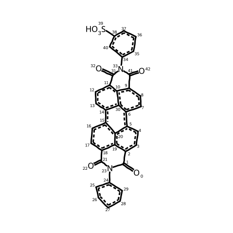 O=C1c2ccc3c4ccc5c6c(ccc(c7ccc(c2c37)C(=O)N1c1ccccc1)c64)C(=O)N(c1cccc(S(=O)(=O)O)c1)C5=O